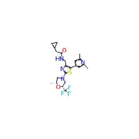 Cc1cc(-c2sc(N3C[C@@H](C)O[C@@H](C(F)(F)F)C3)nc2CNC(=O)CC2CC2)cc(C)n1